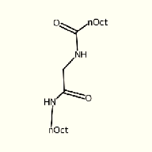 CCCCCCCCNC(=O)CNC(=O)CCCCCCCC